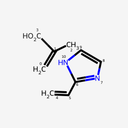 C=C(C)C(=O)O.C=Cc1ncc[nH]1